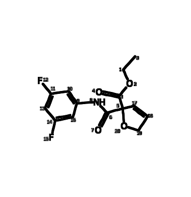 CCOC(=O)C1(C(=O)Nc2cc(F)cc(F)c2)C=CCO1